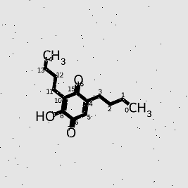 CCCCC1=CC(=O)C(O)=C(CCCC)C1=O